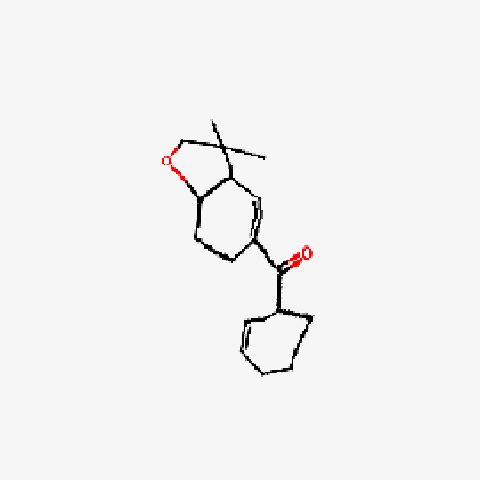 CC1(C)COC2CCC(C(=O)C3C=CCCC3)=CC21